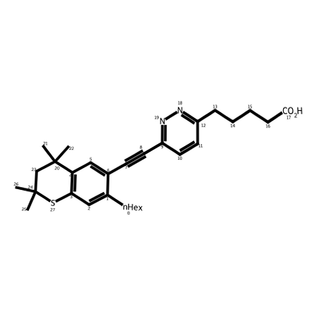 CCCCCCc1cc2c(cc1C#Cc1ccc(CCCCC(=O)O)nn1)C(C)(C)CC(C)(C)S2